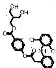 O=C(Cc1ccccc1Nc1c(Cl)cccc1Cl)Oc1ccc(C(=O)OCC(CO)CO)cc1